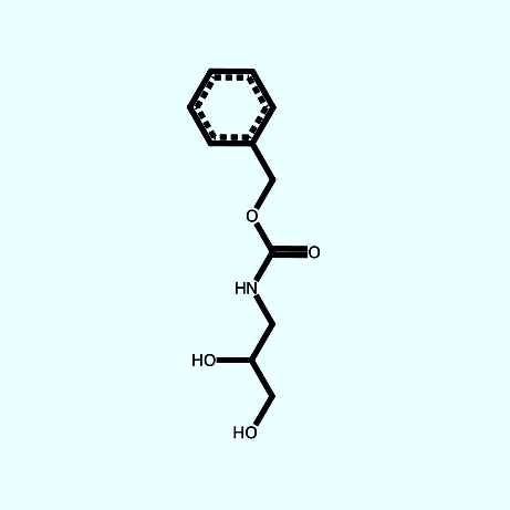 O=C(NCC(O)CO)OCc1ccccc1